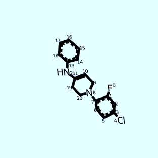 Fc1cc(Cl)ccc1N1CC=C(Nc2ccccc2)CC1